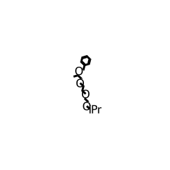 CC(C)OCCOCCOCC(C)OCc1ccccc1